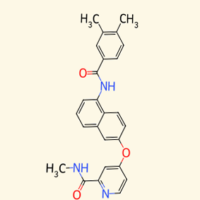 CNC(=O)c1cc(Oc2ccc3c(NC(=O)c4ccc(C)c(C)c4)cccc3c2)ccn1